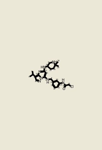 CC(C)c1cnn2c(NCc3cccc(NC(=O)CCl)c3)cc(NC3CCC(C)(C)NC3)nc12